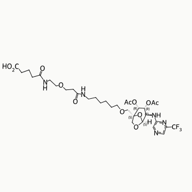 CC(=O)O[C@@H]1[C@@H](Nc2cncc(C(F)(F)F)n2)[C@H]2OC[C@](COCCCCCCNC(=O)CCOCCNC(=O)CCCC(=O)O)(O2)[C@@H]1OC(C)=O